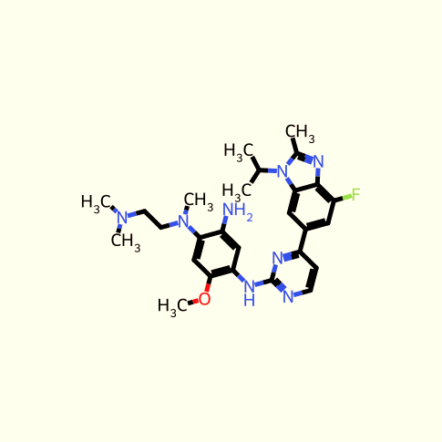 COc1cc(N(C)CCN(C)C)c(N)cc1Nc1nccc(-c2cc(F)c3nc(C)n(C(C)C)c3c2)n1